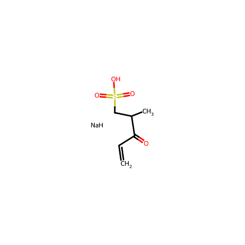 C=CC(=O)C(C)CS(=O)(=O)O.[NaH]